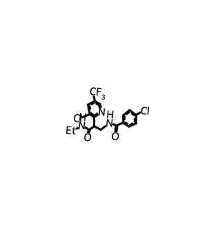 CCNC(=O)C(CNC(=O)c1ccc(Cl)cc1)c1ncc(C(F)(F)F)cc1Cl